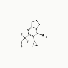 Nc1c2c(nc(C(F)(F)CF)c1C1CC1)CCC2